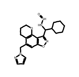 O=[SH]NC(c1noc2cc(Cn3cccn3)c3c(c12)OCCC3)C1CCCCC1